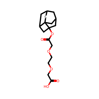 O=C(O)COCCOCC(=O)OC12CC3CC4CC(C1)C2(C4)C3